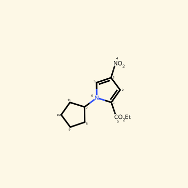 CCOC(=O)c1cc([N+](=O)[O-])cn1C1CCCC1